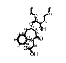 CCOC(=O)[C@H](CCSC)N[C@H]1CCc2ccccc2N(CC(=O)O)C1=O